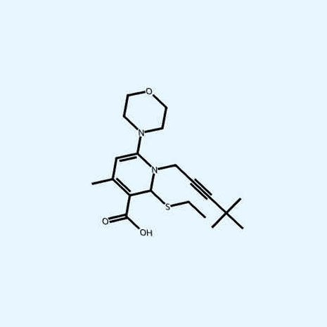 CCSC1C(C(=O)O)=C(C)C=C(N2CCOCC2)N1CC#CC(C)(C)C